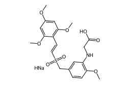 COc1cc(OC)c(/C=C/S(=O)(=O)Cc2ccc(OC)c(NCC(=O)O)c2)c(OC)c1.[NaH]